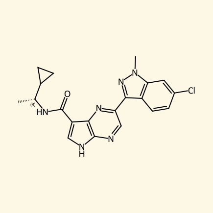 C[C@@H](NC(=O)c1c[nH]c2ncc(-c3nn(C)c4cc(Cl)ccc34)nc12)C1CC1